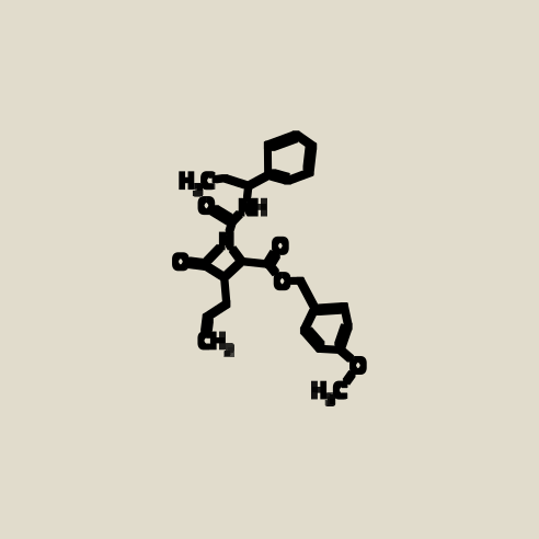 C=CCC1C(=O)N(C(=O)NC(CC)c2ccccc2)C1C(=O)OCc1ccc(OC)cc1